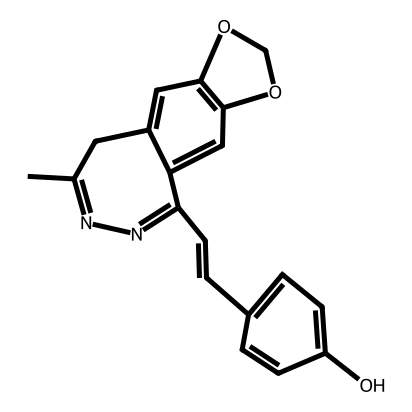 CC1=NN=C(/C=C/c2ccc(O)cc2)c2cc3c(cc2C1)OCO3